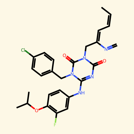 C=N/C(=C\C=C/C)Cn1c(=O)nc(Nc2ccc(OC(C)C)c(F)c2)n(Cc2ccc(Cl)cc2)c1=O